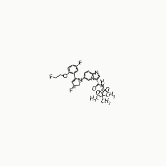 CC(C)(C)S(=O)(=O)NC(=O)c1cnc2ccc(N3C[C@@H](F)C=C3c3cc(F)ccc3OCCF)cn12